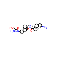 C[C@]1(C(=O)NC(=O)[C@@]2(C)CCC[C@]3(C)c4cc(NC(=O)[C@@H](N)CO)ccc4CC[C@@H]23)CCC[C@]2(C)c3cc(N)ccc3CC[C@@H]12